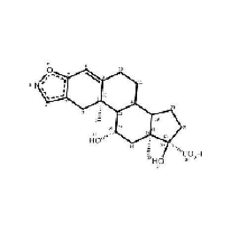 C[C@]12Cc3cnoc3C=C1CCC1C2[C@@H](O)C[C@@]2(C)C1CC[C@]2(O)C(=O)O